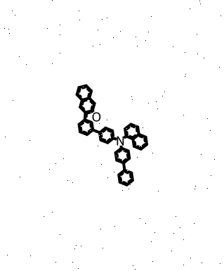 c1ccc(-c2ccc(N(c3ccc(-c4cccc5c4oc4cc6ccccc6cc45)cc3)c3cccc4ccccc34)cc2)cc1